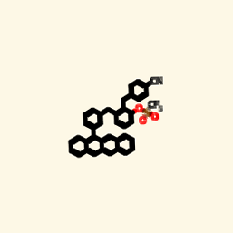 N#Cc1ccc(Cc2c(Cc3cccc(-c4c5ccccc5cc5cc6ccccc6cc45)c3)cccc2OS(=O)(=O)C(F)(F)F)cc1